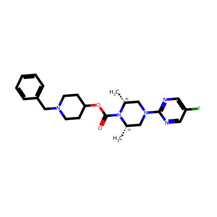 C[C@@H]1CN(c2ncc(F)cn2)C[C@H](C)N1C(=O)OC1CCN(Cc2ccccc2)CC1